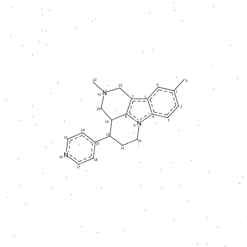 Cc1ccc2c(c1)c1c3n2CCC(c2ccncc2)C3CN(C)C1